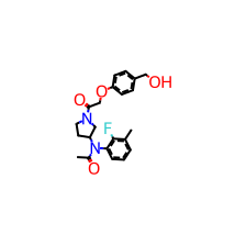 CC(=O)N(c1cccc(C)c1F)C1CCN(C(=O)COc2ccc(CO)cc2)C1